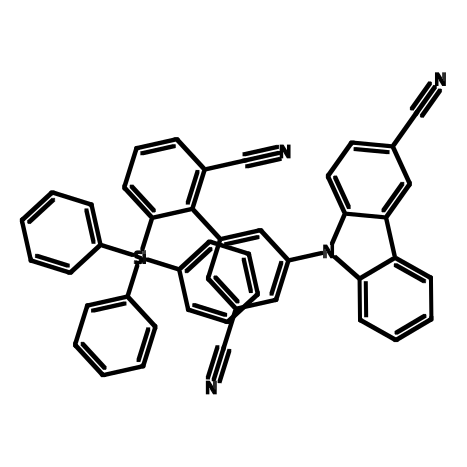 N#Cc1cc(-c2c(C#N)cccc2[Si](c2ccccc2)(c2ccccc2)c2ccccc2)cc(-n2c3ccccc3c3cc(C#N)ccc32)c1